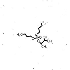 CCCCOP(=O)(OCCCC)OC(C)C(C)C